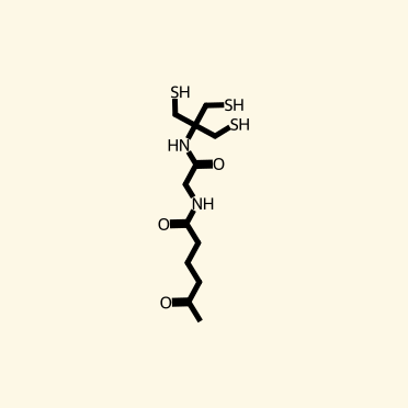 CC(=O)CCCC(=O)NCC(=O)NC(CS)(CS)CS